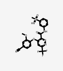 COc1cc(C#N)ccc1Oc1cc(C(F)(F)F)nnc1C(=O)Nc1cccc(S(C)(=N)=O)c1